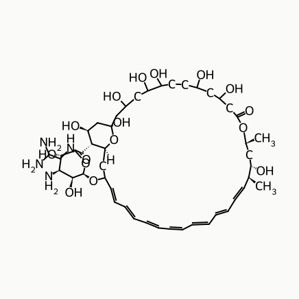 C[C@H]1C[C@H](O)[C@@H](C)/C=C/C=C/C=C/C=C/C=C/C=C/C=C/C(O[C@@H]2OC[C@@H](O)[C@H](N)[C@@H]2O)C[C@@H]2OC(O)(CC(O)CC(O)C(O)CCC(O)CC(O)CC(=O)O1)C[C@H](O)[C@H]2C(=O)NCC(N)N